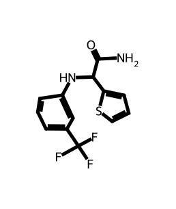 NC(=O)C(Nc1cccc(C(F)(F)F)c1)c1cccs1